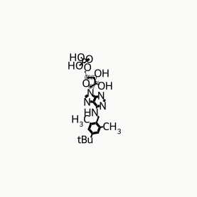 Cc1cc(C(C)(C)C)cc(C)c1CNc1ncnc2c1ncn2[C@@H]1O[C@H](COP(=O)(O)O)[C@@H](O)[C@H]1O